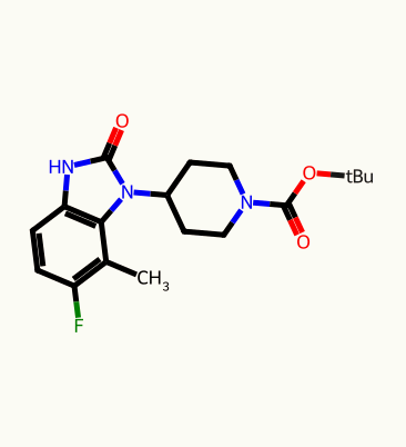 Cc1c(F)ccc2[nH]c(=O)n(C3CCN(C(=O)OC(C)(C)C)CC3)c12